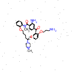 CN1CCN(C(=C=O)CCCCOc2ccccc2N(C)C(=O)c2ccc(C(=O)c3ccccc3OCCCN)cc2N)CC1